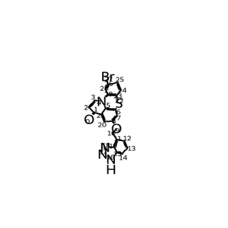 O=c1ccn2c3c(cc(OCc4cccc5[nH]nnc45)cc13)Sc1ccc(Br)cc1-2